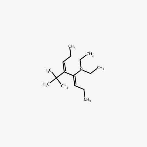 CC/C=C(/C(=C\CC)C(C)(C)C)N(CC)CC